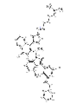 CC(c1oc(=O)c2ccccc2c1-c1ccc(/C=C/CCCCN(C)C)s1)n1nc(-c2cc(F)cc(OCc3ccccc3)c2)c2c(N)ncnc21